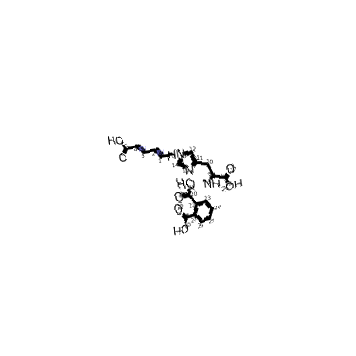 C/C=C/C=C/C(=O)O.NC(Cc1c[nH]cn1)C(=O)O.O=C(O)c1ccccc1C(=O)O